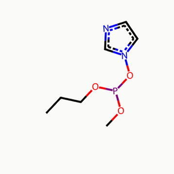 CCCOP(OC)On1ccnc1